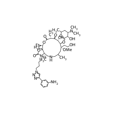 CC[C@H]1OC(=O)[C@H](C)C(=O)[C@H](C)[C@@H](O[C@@H]2OC(C)CC(N(C)C)C2O)[C@](CCO)(OC)C[C@@H](C)CN[C@H](C)[C@H]2N(CCCCn3cc(-c4cccc(N)c4)nn3)C(=O)O[C@]12C